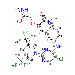 CNC(=O)COc1cc2cc(Nc3nc(N4C[C@H](C(F)(F)F)C[C@@H](C(F)(F)F)C4)ncc3Cl)ccc2n(C)c1=O